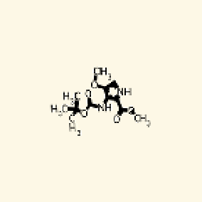 COC(=O)c1[nH]cc(OC)c1NC(=O)OC(C)(C)C